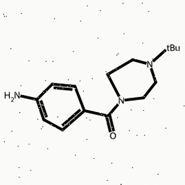 CC(C)(C)N1CCN(C(=O)c2ccc(N)cc2)CC1